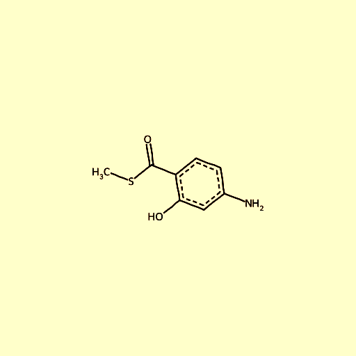 CSC(=O)c1ccc(N)cc1O